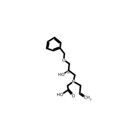 C=CCN(CC(=O)O)C[C@@H](O)COCc1ccccc1